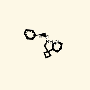 c1ccc([C@H]2C[C@@H]2NCC2(c3cccnc3)CCC2)cc1